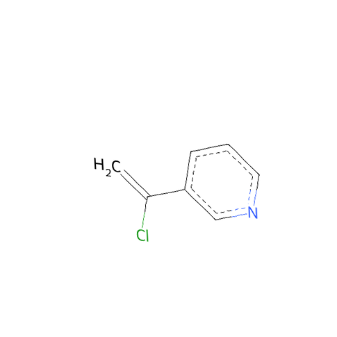 C=C(Cl)c1cccnc1